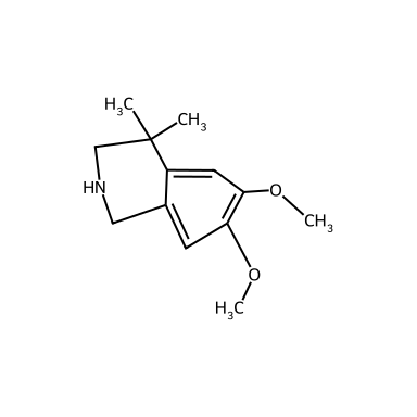 COc1cc2c(cc1OC)C(C)(C)CNC2